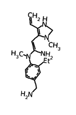 C=CC1=C(/C=C(\N)N(C)c2ccc(CN)cc2CC)N(C)CN1